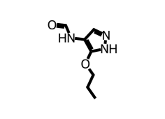 CCCOc1[nH]ncc1NC=O